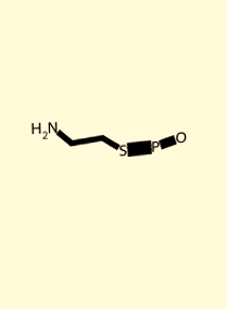 NCCS#P=O